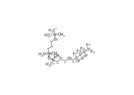 C[Si](C)(C)OCCC[Si](C)(C)O[Si](C)(C)CCCOCC(F)(F)C(F)(F)C(F)(F)C(F)F